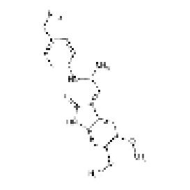 COc1cc2c(cc1OC)C(=CC(C)Nc1ccc(CN)cc1)C(=O)N2